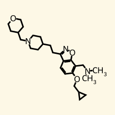 CN(C)Cc1c(OCC2CC2)ccc2c(CCC3CCN(CC4CCOCC4)CC3)noc12